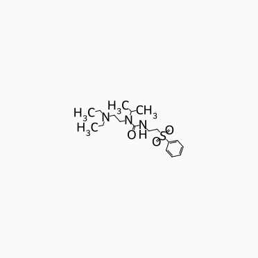 CCN(CC)CCN(C(=O)NCCS(=O)(=O)c1ccccc1)C(C)C